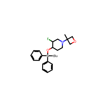 CC1(N2CCC(O[Si](c3ccccc3)(c3ccccc3)C(C)(C)C)C(F)C2)COC1